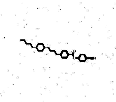 CCCCC[C@H]1CC[C@H](CCCCc2ccc(C(=O)Oc3ccc(C#N)cc3)cc2)CC1